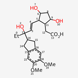 CCC(O)(C=CC1C(O)CC(O)C1CC(=O)O)C1Cc2cc(OC)c(OC)cc2C1